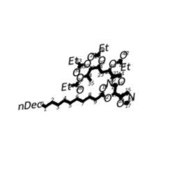 CCCCCCCCCCCCCCCCCCCC(=O)OC(c1cnco1)c1nc(C(CC(OC(=O)CC)C(OC(=O)CC)C(C)OC(=O)CC)OC(=O)CC)co1